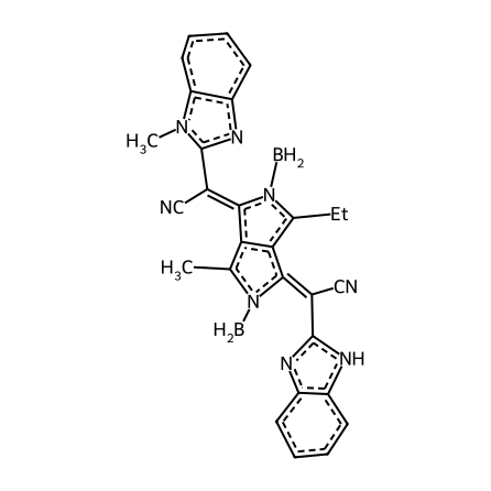 Bn1c(C)c2/c(=C(\C#N)c3nc4ccccc4n3C)n(B)c(CC)c2/c1=C(\C#N)c1nc2ccccc2[nH]1